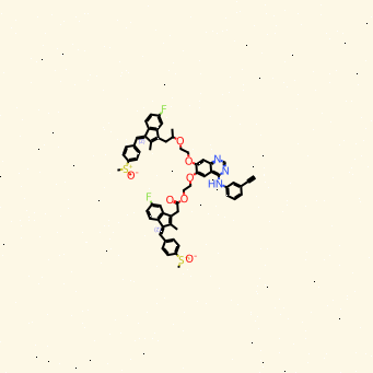 C#Cc1cccc(Nc2ncnc3cc(OCCOC(C)CC4=C(C)/C(=C\c5ccc([S+](C)[O-])cc5)c5ccc(F)cc54)c(OCCOC(=O)CC4=C(C)/C(=C\c5ccc([S+](C)[O-])cc5)c5ccc(F)cc54)cc23)c1